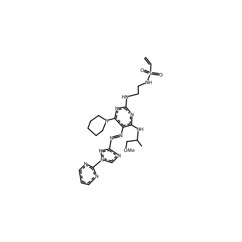 C=CS(=O)(=O)NCCNc1nc(NC(C)COC)c(N=Nc2ncn(-c3ncccn3)n2)c(N2CCCCC2)n1